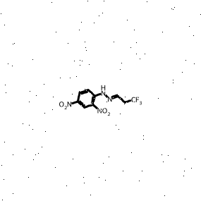 O=[N+]([O-])c1ccc(NN=CCC(F)(F)F)c([N+](=O)[O-])c1